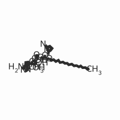 CCCCCCCCCCCCCCCCCCOC[C@H](COP(=O)(O)O[C@H]1O[C@@](C)(c2ccc3c(N)ncnn23)[C@H](O)[C@@H]1O)OCc1cccc(C#N)n1